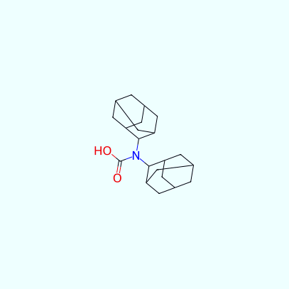 O=C(O)N(C1C2CC3CC(C2)CC1C3)C1C2CC3CC(C2)CC1C3